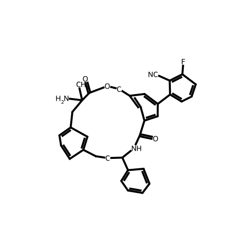 CC1(N)Cc2cccc(c2)CCC(c2ccccc2)NC(=O)c2cc(cc(-c3cccc(F)c3C#N)c2)COC1=O